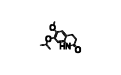 COc1cc2c(cc1OC(C)C)NC(=O)CC2